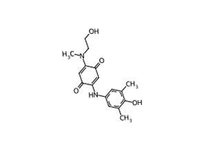 Cc1cc(NC2=CC(=O)C(N(C)CCO)=CC2=O)cc(C)c1O